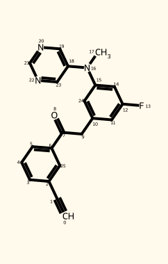 C#Cc1cccc(C(=O)Cc2cc(F)cc(N(C)c3cncnc3)c2)c1